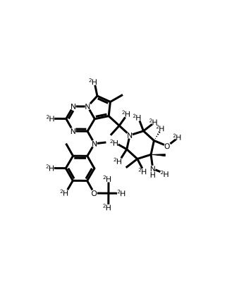 [2H]N[C@]1(C)C([2H])(C)C([2H])([2H])N(C([2H])(C)c2c(C)c([2H])n3nc([2H])nc(N(C)c4cc(OC([2H])([2H])[2H])c([2H])c([2H])c4C)c23)C([2H])([2H])[C@@]1([2H])O[2H]